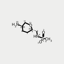 CS(=O)(=O)NC[C@@H]1CC[C@@H](N)CO1